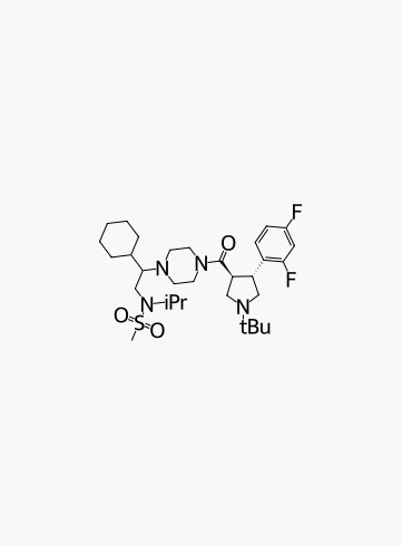 CC(C)N(CC(C1CCCCC1)N1CCN(C(=O)[C@@H]2CN(C(C)(C)C)C[C@H]2c2ccc(F)cc2F)CC1)S(C)(=O)=O